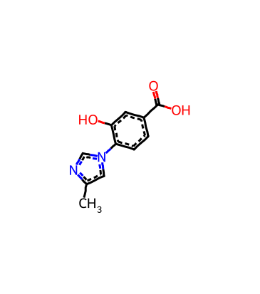 Cc1cn(-c2ccc(C(=O)O)cc2O)cn1